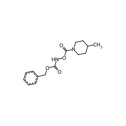 CC1CCN(C(=O)ONC(=O)OCc2ccccc2)CC1